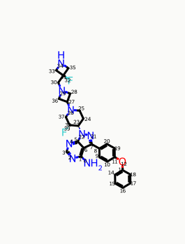 Nc1ncnc2c1c(-c1ccc(Oc3ccccc3)cc1)nn2[C@H]1CCN(C2CN(CC3(F)CNC3)C2)C[C@H]1F